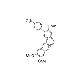 COc1cc2cc3c4cc(-c5ccc([N+](=O)[O-])cc5)c(OC)cc4cc[n+]3cc2cc1OC